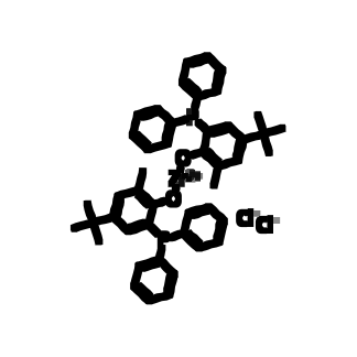 Cc1cc(C(C)(C)C)cc(P(c2ccccc2)c2ccccc2)c1[O][Zr+2][O]c1c(C)cc(C(C)(C)C)cc1P(c1ccccc1)c1ccccc1.[Cl-].[Cl-]